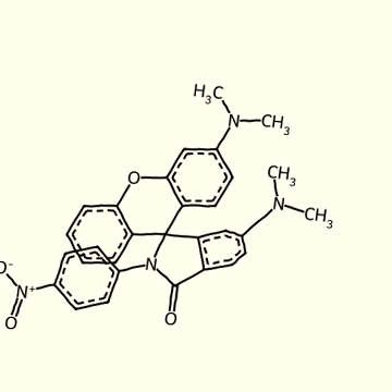 CN(C)c1ccc2c(c1)Oc1ccccc1C21c2cc(N(C)C)ccc2C(=O)N1c1ccc([N+](=O)[O-])cc1